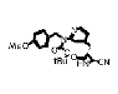 COc1ccc(CN(C(=O)OC(C)(C)C)c2cc(C[C@H]3C(=O)N[C@@H]3C#N)ccn2)cc1